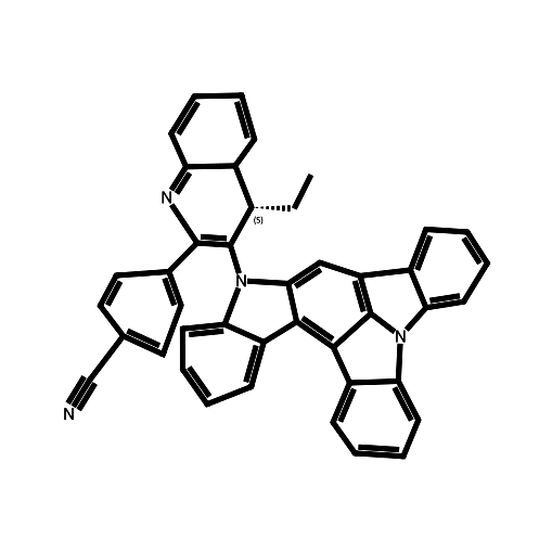 CC[C@@H]1C(n2c3ccccc3c3c4c5ccccc5n5c6ccccc6c(cc32)c45)=C(c2ccc(C#N)cc2)N=C2C=CC=CC21